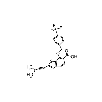 CC(C)C#Cc1cc2ccc(C(=O)O)c(OCc3ccc(C(F)(F)F)cc3)c2s1